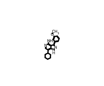 COc1cccc(-c2n[nH]c3c(C4CCCCC4)cnc(N)c23)c1